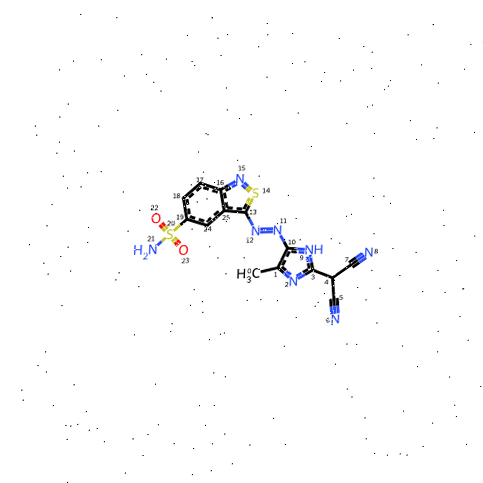 Cc1nc(C(C#N)C#N)[nH]c1/N=N/c1snc2ccc(S(N)(=O)=O)cc12